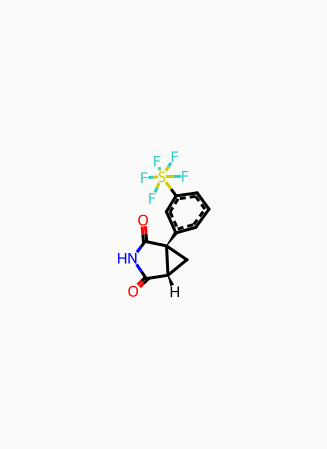 O=C1NC(=O)[C@]2(c3cccc(S(F)(F)(F)(F)F)c3)C[C@H]12